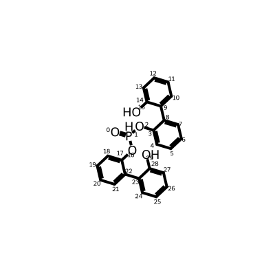 O=[PH](Oc1ccccc1-c1ccccc1O)Oc1ccccc1-c1ccccc1O